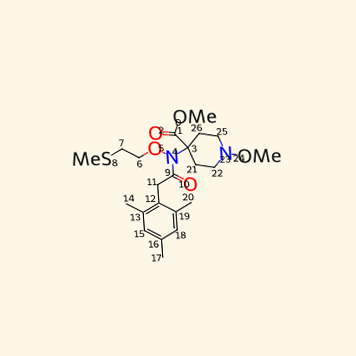 COC(=O)C1(N(OCCSC)C(=O)Cc2c(C)cc(C)cc2C)CCN(OC)CC1